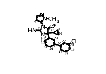 Cn1nccc1N1C(=N)NC(c2cccc(-c3cccc(Cl)c3)c2)(C2CC2)C1=O